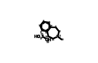 CN1CCc2ccccc2CC1.O=S(=O)(O)O